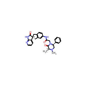 C[C@H]1C(=O)N(CC(=O)Nc2ccc3c(c2)C[C@@]2(C3)C(=O)Nc3ncccc32)[C@@H](c2ccccc2)CN1C